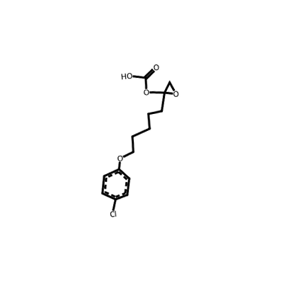 O=C(O)OC1(CCCCCOc2ccc(Cl)cc2)CO1